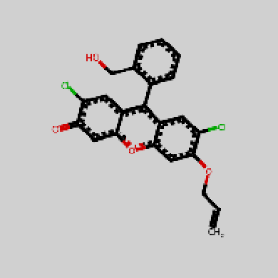 C=CCOc1cc2oc3cc(=O)c(Cl)cc-3c(-c3ccccc3CO)c2cc1Cl